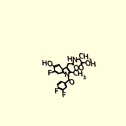 Cc1c(CC(=O)NC(C)C(=O)O)c2cc(O)c(F)cc2n1C(=O)c1ccc(F)c(F)c1